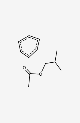 CC(=O)OCC(C)C.c1ccccc1